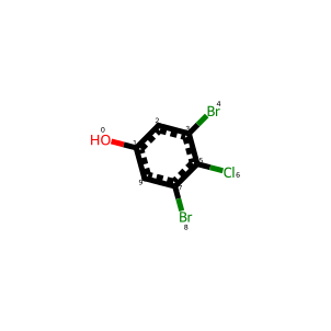 Oc1cc(Br)c(Cl)c(Br)c1